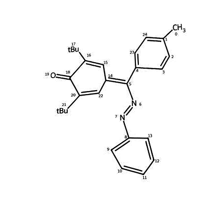 Cc1ccc(C(N=Nc2ccccc2)=C2C=C(C(C)(C)C)C(=O)C(C(C)(C)C)=C2)cc1